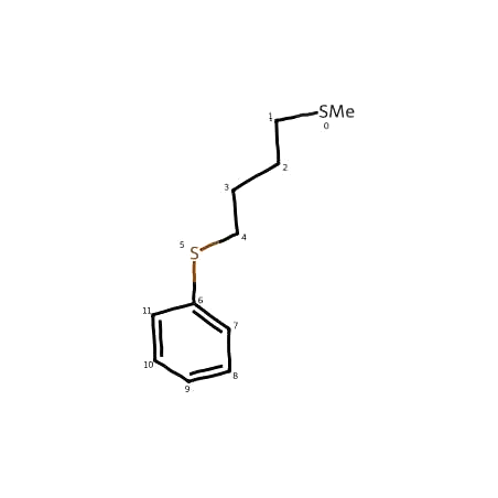 CS[CH]CCCSc1ccccc1